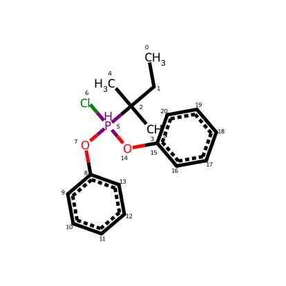 CCC(C)(C)[PH](Cl)(Oc1ccccc1)Oc1ccccc1